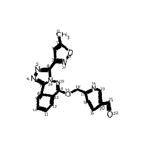 Cc1cc(-c2nnc3c4ccccc4c(OCc4ccc(C=O)cn4)nn23)no1